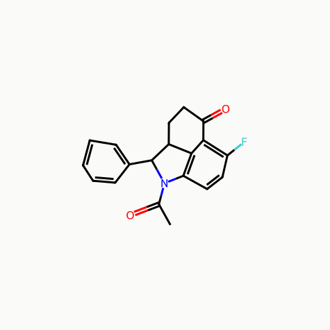 CC(=O)N1c2ccc(F)c3c2C(CCC3=O)C1c1ccccc1